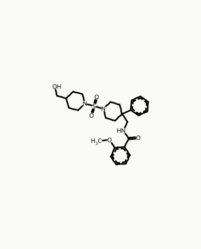 COc1ccccc1C(=O)NCC1(c2ccccc2)CCN(S(=O)(=O)N2CCC(CO)CC2)CC1